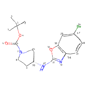 CC(C)(C)OC(=O)N1CC[C@@H](Nc2nc3ccc(Br)cc3o2)C1